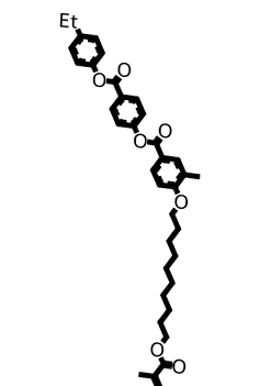 C=C(C)C(=O)OCCCCCCCCCCOc1ccc(C(=O)Oc2ccc(C(=O)Oc3ccc(CC)cc3)cc2)cc1C